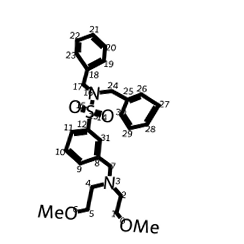 COCCN(CCOC)Cc1cccc(S(=O)(=O)N(Cc2ccccc2)Cc2ccccc2)c1